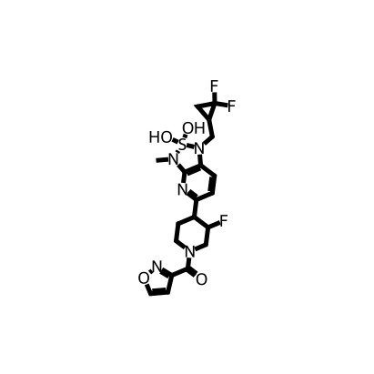 CN1c2nc(C3CCN(C(=O)c4ccon4)CC3F)ccc2N(CC2CC2(F)F)S1(O)O